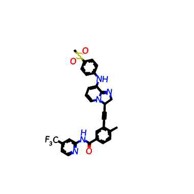 Cc1ccc(C(=O)Nc2cc(C(F)(F)F)ccn2)cc1C#CC1CN=C2C(Nc3ccc(S(C)(=O)=O)cc3)=CC=CN21